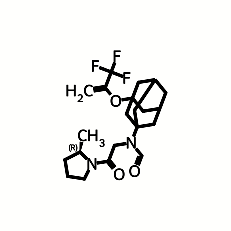 C=C(OC12CC3CC(C1)CC(N(C=O)CC(=O)N1CCC[C@H]1C)(C3)C2)C(F)(F)F